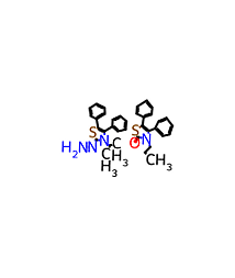 CC(C)n1c(-c2ccccc2)c(-c2ccccc2)s/c1=N\N.CCCn1c(-c2ccccc2)c(-c2ccccc2)sc1=O